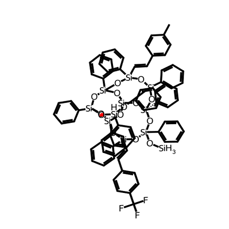 Cc1ccc(/C=C/[Si]2(c3ccccc3)O[Si]3(c4ccccc4)O[SiH](c4ccccc4)O[Si]4(c5ccccc5)O[Si]5(c6ccccc6)O[Si](/C=C/c6ccc(C(F)(F)F)cc6)(c6ccccc6)O[Si](O[SiH3])(c6ccccc6)O[Si@](c6ccccc6)(O3)O[Si@@](c3ccccc3)(O5)O[Si](c3ccccc3)(O2)O4)cc1